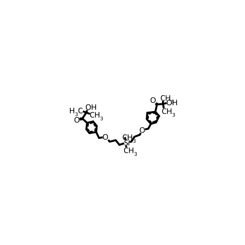 CC(C)(O)C(=O)c1ccc(COCCC[Si](C)(C)CCCOCc2ccc(C(=O)C(C)(C)O)cc2)cc1